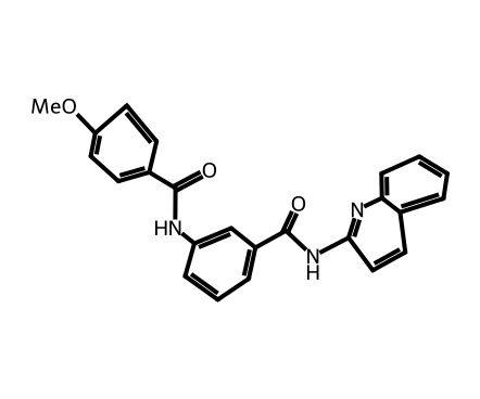 COc1ccc(C(=O)Nc2cccc(C(=O)Nc3ccc4ccccc4n3)c2)cc1